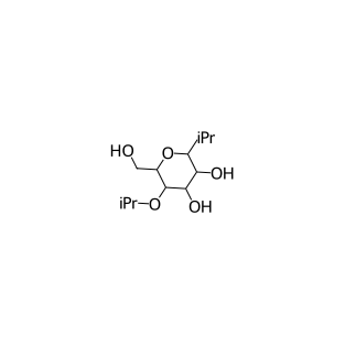 CC(C)OC1C(CO)OC(C(C)C)C(O)C1O